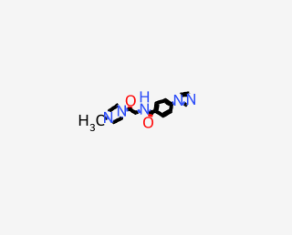 CN1CCN(C(=O)CNC(=O)c2ccc(-n3ccnc3)cc2)CC1